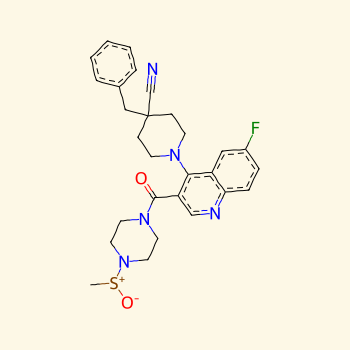 C[S+]([O-])N1CCN(C(=O)c2cnc3ccc(F)cc3c2N2CCC(C#N)(Cc3ccccc3)CC2)CC1